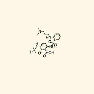 CN(C)CCCNc1ccccc1S(=O)(=O)Nc1ccc2c(c1C(=O)O)OC[C@@H]1C[C@H]21